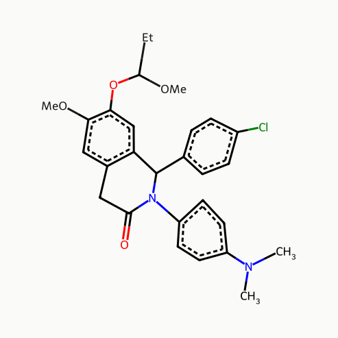 CCC(OC)Oc1cc2c(cc1OC)CC(=O)N(c1ccc(N(C)C)cc1)C2c1ccc(Cl)cc1